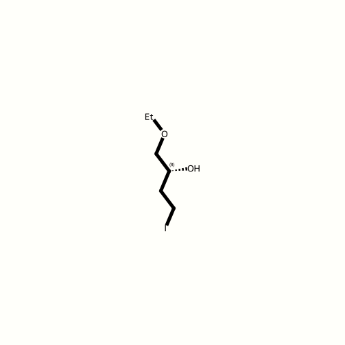 CCOC[C@H](O)CCI